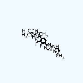 C[C@@H](NC(=O)OC(C)(C)C)c1ccc(-c2ncnc(Nc3ccn(C)n3)n2)c(F)c1C(F)F